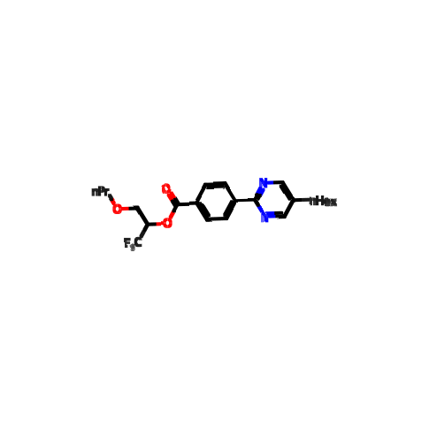 CCCCCCc1cnc(-c2ccc(C(=O)OC(COCCC)C(F)(F)F)cc2)nc1